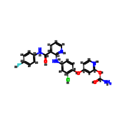 NC(=O)Oc1cc(Oc2ccc(Nc3ncccc3C(=O)Nc3ccc(F)cc3)cc2Cl)ccn1